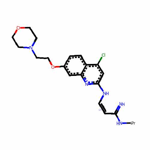 CC(C)NC(=N)/C=C\Nc1cc(Cl)c2ccc(OCCN3CCOCC3)cc2n1